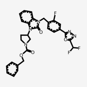 O=C(OCc1ccccc1)N1CCC(n2c(=O)n(Cc3ccc(-c4nnc(C(F)F)o4)cc3F)c3ccccc32)C1